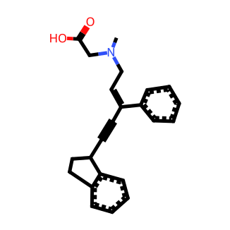 CN(CC=C(C#CC1CCc2ccccc21)c1ccccc1)CC(=O)O